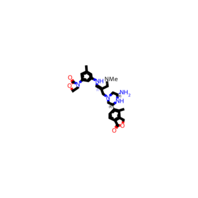 CNC/C(=C\Nc1cc(C)cc(N2CCOC2=O)c1)CN1C[C@@H](c2ccc3c(c2C)COC3=O)N[C@@H](N)C1